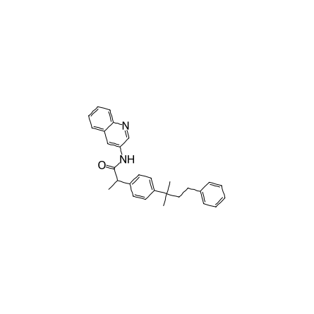 CC(C(=O)Nc1cnc2ccccc2c1)c1ccc(C(C)(C)CCc2ccccc2)cc1